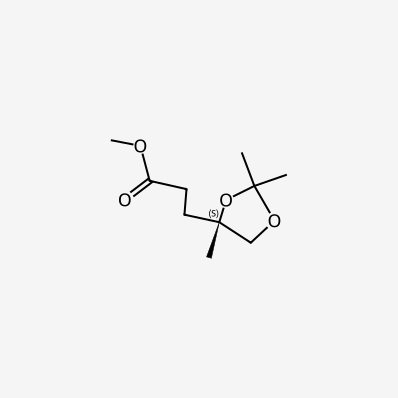 COC(=O)CC[C@@]1(C)COC(C)(C)O1